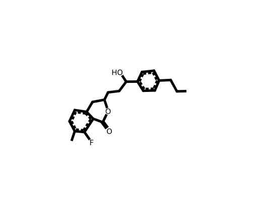 CCCc1ccc(C(O)CCC2Cc3ccc(C)c(F)c3C(=O)O2)cc1